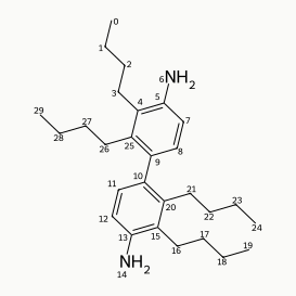 CCCCc1c(N)ccc(-c2ccc(N)c(CCCC)c2CCCC)c1CCCC